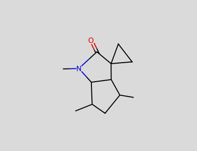 CC1CC(C)C2C1N(C)C(=O)C21CC1